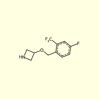 Fc1ccc(COC2CNC2)c(C(F)(F)F)c1